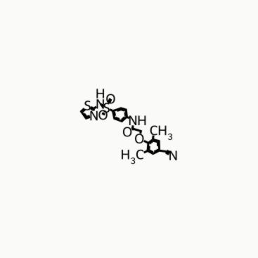 Cc1cc(C#N)cc(C)c1OCC(=O)Nc1ccc(S(=O)(=O)Nc2nccs2)cc1